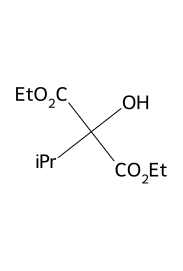 CCOC(=O)C(O)(C(=O)OCC)C(C)C